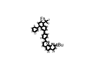 CCC(C)(C)c1ccc(-c2ccccc2)c2cc(-c3ccc(-c4ccc5ccc6ccc(C(C)(C)C)nc6c5n4)cc3)ccc12